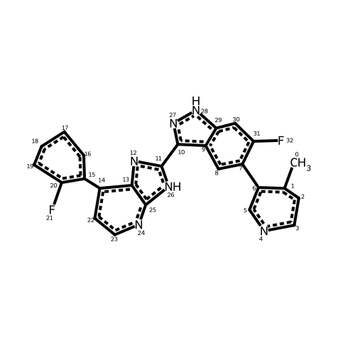 Cc1ccncc1-c1cc2c(-c3nc4c(-c5ccccc5F)ccnc4[nH]3)n[nH]c2cc1F